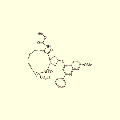 CCOC(=O)C12CC1/C=C/CCCCN(NC(=O)OC(C)(C)C)C(=O)N1CC(Oc3cc(-c4ccccc4)nc4cc(OC)ccc34)CC1C(=O)N2